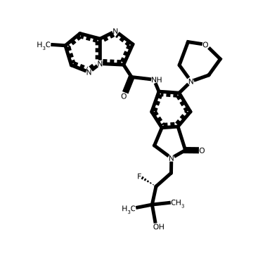 Cc1cnn2c(C(=O)Nc3cc4c(cc3N3CCOCC3)C(=O)N(C[C@@H](F)C(C)(C)O)C4)cnc2c1